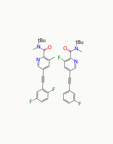 CN(C(=O)c1ncc(C#Cc2cccc(F)c2)cc1F)C(C)(C)C.Cc1cc(C#Cc2cc(F)ccc2F)cnc1C(=O)N(C)C(C)(C)C